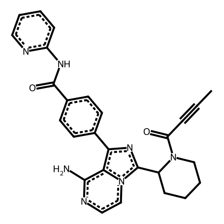 CC#CC(=O)N1CCCCC1c1nc(-c2ccc(C(=O)Nc3ccccn3)cc2)c2c(N)nccn12